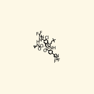 CC(C)(C)CCNC(=N)N(C(=O)c1ccc(-c2cnn(C(F)F)c2)cc1)[C@H](COC(=O)NC1CC1)c1ccc(Cl)c(-c2ncn(C(F)F)n2)c1